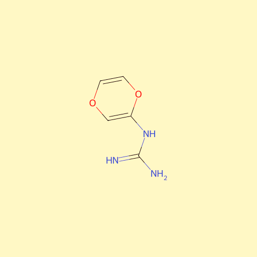 N=C(N)NC1=COC=CO1